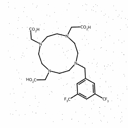 O=C(O)CN1CCN(CC(=O)O)CCN(Cc2cc(C(F)(F)F)cc(C(F)(F)F)c2)CCN(CC(=O)O)CC1